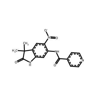 CC1(C)C(=O)Nc2cc(NC(=O)c3ccncc3)c([N+](=O)[O-])cc21